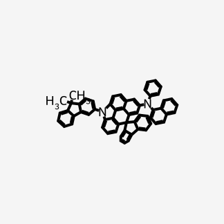 CC1(C)c2ccccc2-c2cc(-n3c4cccc5c4c4c6c(cc(N(c7ccccc7)c7cccc8ccccc78)cc6ccc43)C53c4ccccc4-c4ccccc43)ccc21